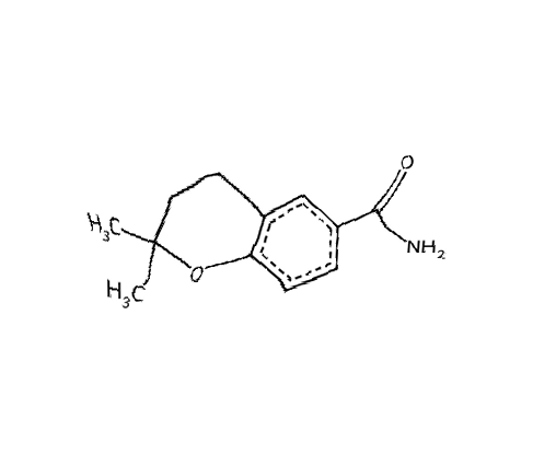 CC1(C)CCc2cc(C(N)=O)ccc2O1